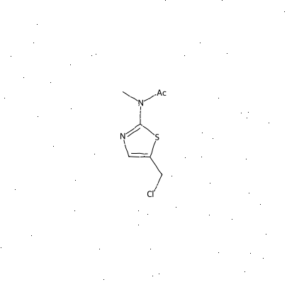 CC(=O)N(C)c1ncc(CCl)s1